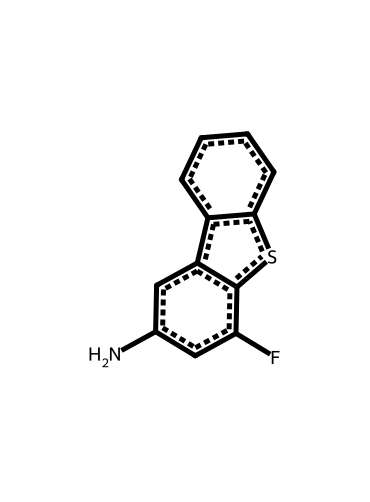 Nc1cc(F)c2sc3ccccc3c2c1